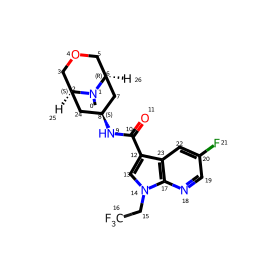 CN1[C@@H]2COC[C@H]1C[C@@H](NC(=O)c1cn(CC(F)(F)F)c3ncc(F)cc13)C2